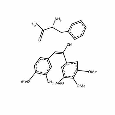 COc1ccc(C=C(C#N)c2cc(OC)c(OC)c(OC)c2)cc1N.NC(=O)[C@H](N)Cc1ccccc1